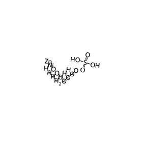 O.O.O.O.O.O.O.O=S(=O)(O)O.[Ni].[Zn]